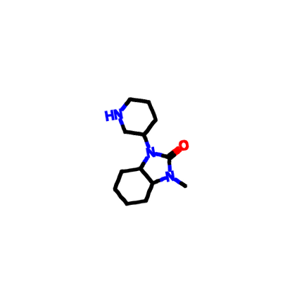 CN1C(=O)N(C2CCCNC2)C2CCCCC21